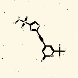 O=c1cc(C#Cc2nc(S(=O)(=O)NO)cs2)cc(C(F)(F)F)[nH]1